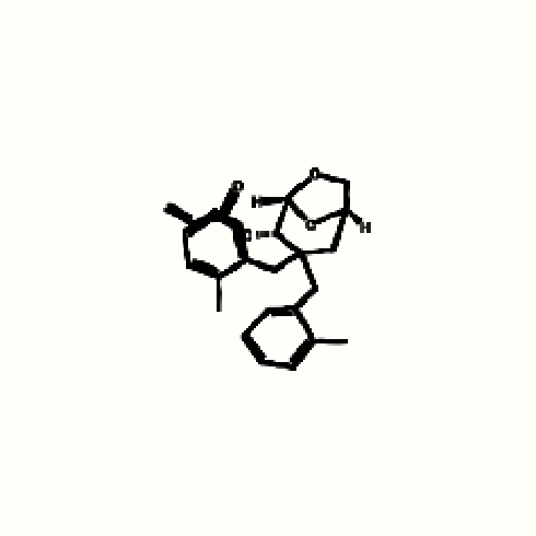 C=CC(=O)O[C@@H]1[C@@H]2OC[C@H](CC1(Cc1ccccc1C)Cc1ccccc1C)O2